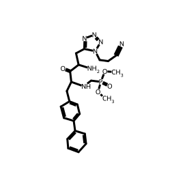 COP(=O)(CNC(Cc1ccc(-c2ccccc2)cc1)C(=O)C(N)Cc1nnnn1CCC#N)OC